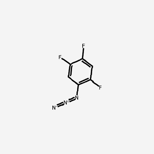 [N-]=[N+]=Nc1cc(F)c(F)cc1F